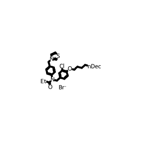 CCCCCCCCCCCCCCOc1ccc(CN(C(=O)CC)c2ccc(C[n+]3ccsc3)cc2)cc1Cl.[Br-]